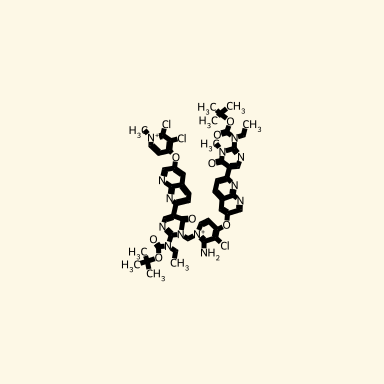 CCN(C(=O)OC(C)(C)C)c1ncc(-c2ccc3cc(Oc4cc[n+](Cn5c(N(CC)C(=O)OC(C)(C)C)ncc(-c6ccc7cc(Oc8cc[n+](C)c(Cl)c8Cl)cnc7n6)c5=O)c(N)c4Cl)cnc3n2)c(=O)n1C